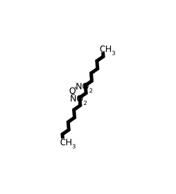 CCCCCCCCCCCCCCCC.O=[N+]([O-])O[N+](=O)[O-]